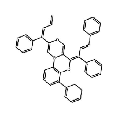 C=C/C=C(\C1=CB2C(=CO1)/C(=C(\C=C\c1ccccc1)c1ccccc1)Oc1c2cccc1C1=CC=CCC1)c1ccccc1